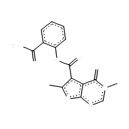 COC(=O)c1ccccc1NC(=O)c1c(C)oc2ncn(C)c(=O)c12